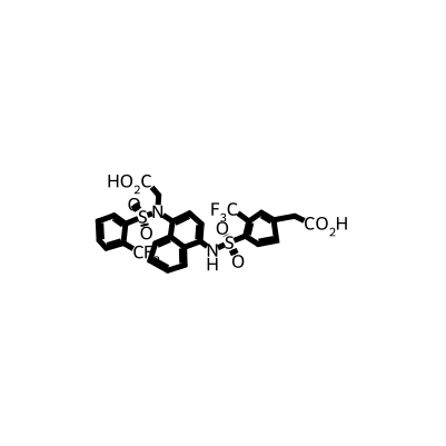 O=C(O)Cc1ccc(S(=O)(=O)Nc2ccc(N(CC(=O)O)S(=O)(=O)c3ccccc3C(F)(F)F)c3ccccc23)c(C(F)(F)F)c1